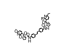 CCc1ccc(C(=O)N2CCC[C@H]2C(=O)Nc2ccc(/C=C/c3ccc(NC(=O)[C@@H]4CCCN4C(=O)c4ccc(OC)nc4OC)cc3)cc2)c(OC)n1